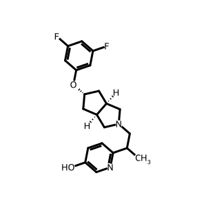 CC(CN1C[C@H]2C[C@H](Oc3cc(F)cc(F)c3)C[C@H]2C1)c1ccc(O)cn1